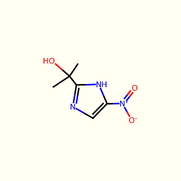 CC(C)(O)c1ncc([N+](=O)[O-])[nH]1